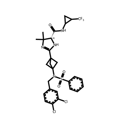 CC1(C)N=C(C23CC(N(Cc4ccc(Cl)c(Cl)c4)S(=O)(=O)c4ccccc4)(C2)C3)N[C@H]1C(=O)NC1CC1C(F)(F)F